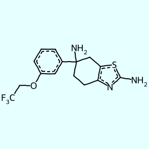 Nc1nc2c(s1)CC(N)(c1cccc(OCC(F)(F)F)c1)CC2